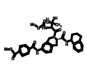 COC(=O)c1ccc(C(=O)Nc2ccc3c(c2)CN(C(=O)C(NC(=O)OC(C)(C)C)C(C)(C)S)[C@H](C(=O)NC2CCCc4ccccc42)C3)cc1